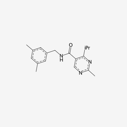 Cc1cc(C)cc(CNC(=O)c2cnc(C)nc2C(C)C)c1